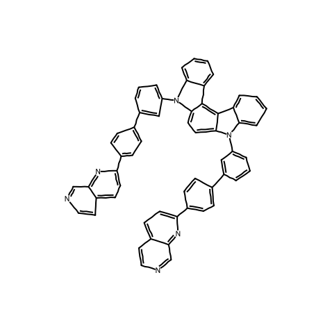 c1cc(-c2ccc(-c3ccc4ccncc4n3)cc2)cc(-n2c3ccccc3c3c4c5ccccc5n(-c5cccc(-c6ccc(-c7ccc8ccncc8n7)cc6)c5)c4ccc32)c1